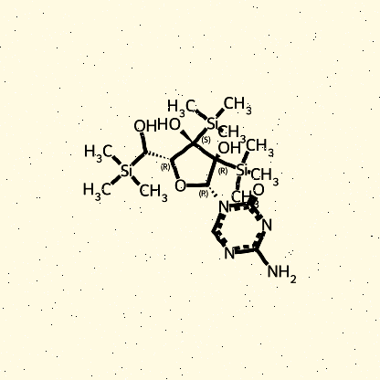 C[Si](C)(C)C(O)[C@H]1O[C@@H](n2cnc(N)nc2=O)[C@@](O)([Si](C)(C)C)[C@@]1(O)[Si](C)(C)C